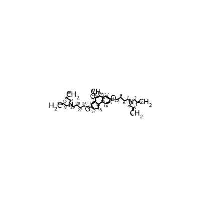 C=CCN(CC=C)CCCCOc1ccc2c(c1)cc(OC)c1cc(OCCCCN(CC=C)CC=C)ccc12